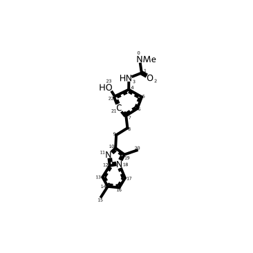 CNC(=O)Nc1ccc(CCc2nc3cc(C)ccn3c2C)cc1O